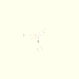 CS(=O)(=O)N(C#Cc1ccccc1)c1ccc(Cl)cc1